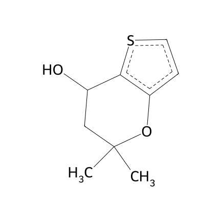 CC1(C)CC(O)c2sccc2O1